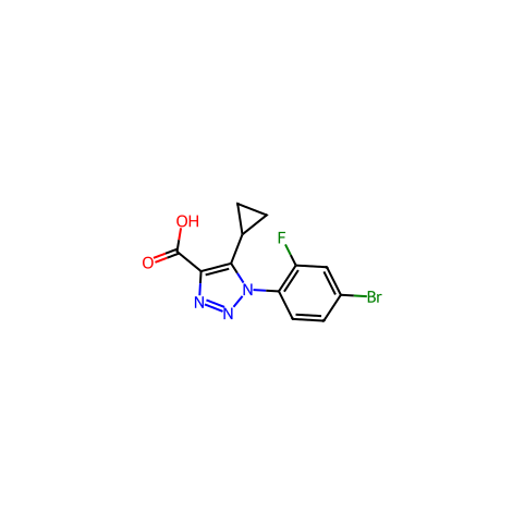 O=C(O)c1nnn(-c2ccc(Br)cc2F)c1C1CC1